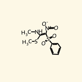 CNC(SC)=C([N+](=O)[O-])S(=O)(=O)c1ccccc1